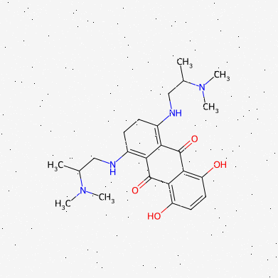 CC(CNC1=C2C(=O)c3c(O)ccc(O)c3C(=O)C2=C(NCC(C)N(C)C)CC1)N(C)C